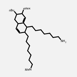 CCCCCCC1C=C2C(C=CC(CCCCCCCNC)C2CCCCCCCN)CC1CCCC